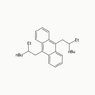 CCCCC(CC)Cc1c2ccccc2c(CC(CC)CCCC)c2ccccc12